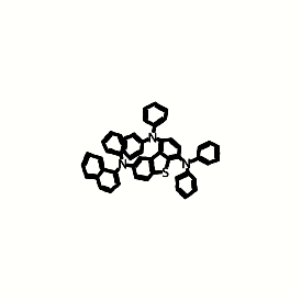 c1ccc(N(c2ccc3sc4c(N(c5ccccc5)c5ccccc5)ccc(N(c5ccccc5)c5ccccc5)c4c3c2)c2cccc3ccccc23)cc1